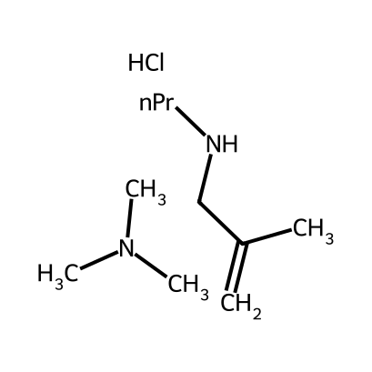 C=C(C)CNCCC.CN(C)C.Cl